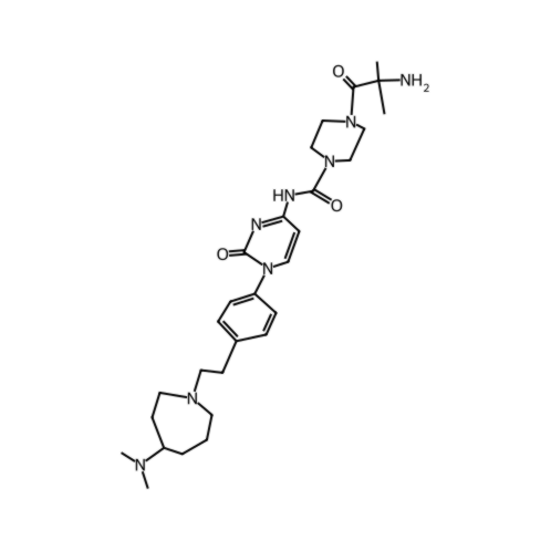 CN(C)C1CCCN(CCc2ccc(-n3ccc(NC(=O)N4CCN(C(=O)C(C)(C)N)CC4)nc3=O)cc2)CC1